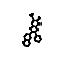 O=c1[nH]c2nc(-c3ccccc3)c(-c3ccc4ncccc4c3)nc2cc1C1CC1